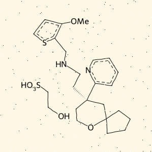 COc1ccsc1CNCC[C@@]1(c2ccccn2)CCOC2(CCCC2)C1.O=S(=O)(O)CCO